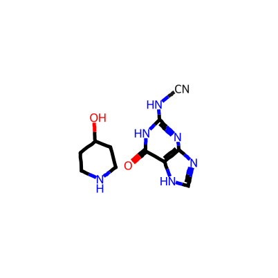 N#CNc1nc2nc[nH]c2c(=O)[nH]1.OC1CCNCC1